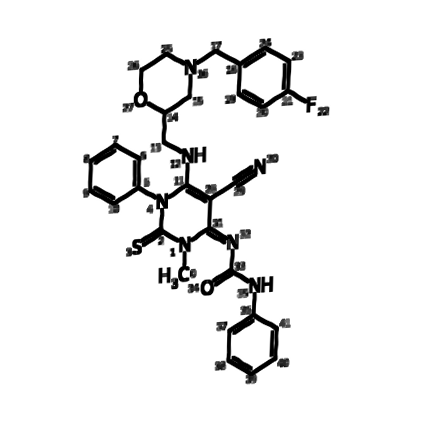 Cn1c(=S)n(-c2ccccc2)c(NCC2CN(Cc3ccc(F)cc3)CCO2)c(C#N)/c1=N/C(=O)Nc1ccccc1